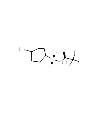 CCC(C)(C)C(=O)NS(=O)(=O)C1CCC(C(C)(C)C)CC1